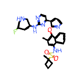 Cc1cc(NS(=O)(=O)C2(C)CCC2)c2ccccc2c1Oc1ncccc1-c1ccnc(NC2CNCC(F)C2)n1